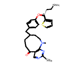 CNCC[C@@H](Oc1ccc(CC2CCC(=O)c3cnc(SC)nc3N(C)CC2)cc1)c1cccs1